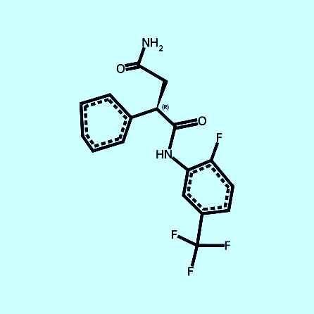 NC(=O)C[C@@H](C(=O)Nc1cc(C(F)(F)F)ccc1F)c1ccccc1